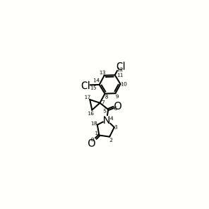 O=C1CCN(C(=O)C2(c3ccc(Cl)cc3Cl)CC2)C1